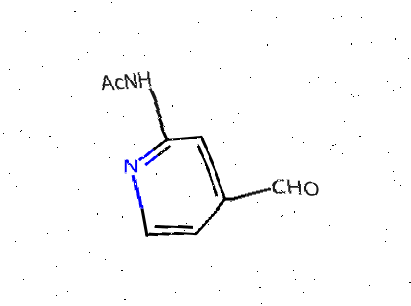 CC(=O)Nc1cc(C=O)ccn1